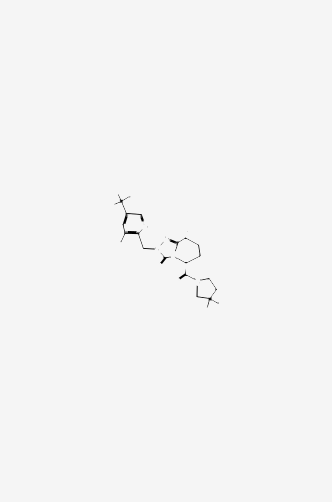 O=C([C@@H]1CC[C@@H](O)c2nn(Cc3ncc(C(F)(F)F)cc3Cl)c(=O)n21)N1CCC(F)(F)C1